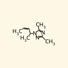 C/C=C\C(C)n1nc(C)nc1C